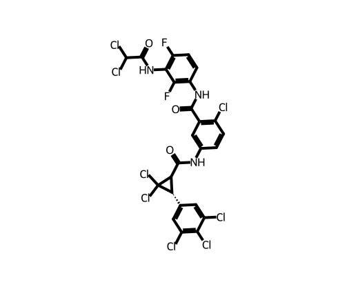 O=C(Nc1ccc(F)c(NC(=O)C(Cl)Cl)c1F)c1cc(NC(=O)C2[C@H](c3cc(Cl)c(Cl)c(Cl)c3)C2(Cl)Cl)ccc1Cl